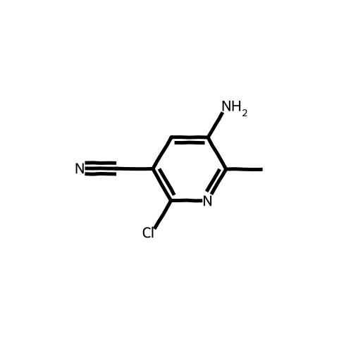 Cc1nc(Cl)c(C#N)cc1N